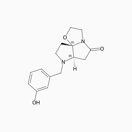 O=C1C[C@H]2N(Cc3cccc(O)c3)CC[C@]23OCCN13